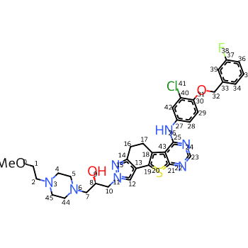 COCCN1CCN(C[C@@H](O)Cn2cc3c(n2)CCc2c-3sc3ncnc(Nc4ccc(OCc5cccc(F)c5)c(Cl)c4)c23)CC1